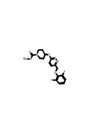 CC(C)(C)OC(=O)N1CCC(Oc2ccc(COc3c(F)cccc3F)nn2)CC1